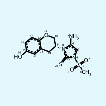 CS(=O)(=O)n1cc(N)n([C@H]2COc3ccc(O)cc3C2)c1=S